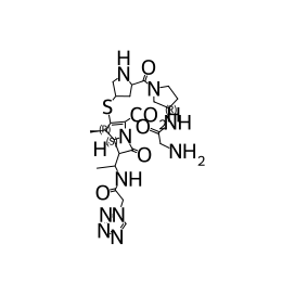 CC(NC(=O)Cn1cnnn1)C1C(=O)N2C(C(=O)O)=C(SC3CNC(C(=O)N4CC[C@@H](NC(=O)CN)C4)C3)[C@H](C)[C@H]12